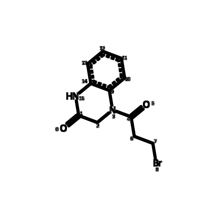 O=C1CN(C(=O)CCBr)c2ccccc2N1